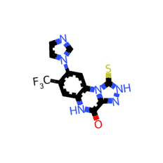 O=c1[nH]c2cc(C(F)(F)F)c(-n3ccnc3)cc2n2c(=S)[nH]nc12